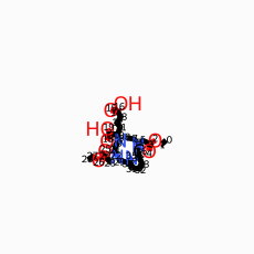 CCOC(=O)CN1CCN(C(CCCC(=O)O)C(=O)O)CCN(CC(=O)OCC)Cc2cccc(n2)C1